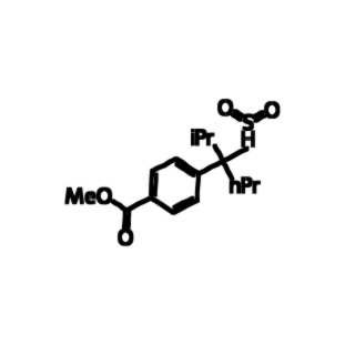 CCCC(C[SH](=O)=O)(c1ccc(C(=O)OC)cc1)C(C)C